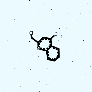 Cc1cc(CCl)nc2ccccc12